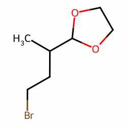 CC(CCBr)C1OCCO1